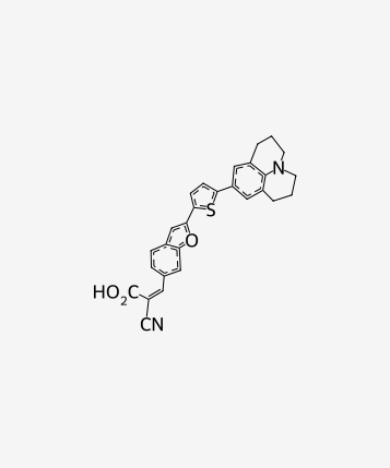 N#C/C(=C/c1ccc2cc(-c3ccc(-c4cc5c6c(c4)CCCN6CCC5)s3)oc2c1)C(=O)O